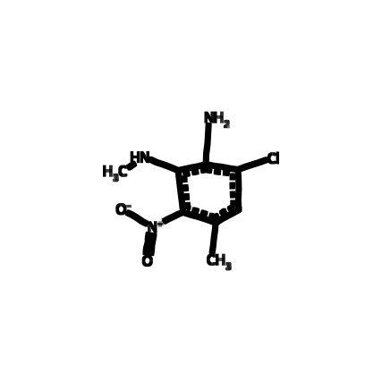 CNc1c(N)c(Cl)cc(C)c1[N+](=O)[O-]